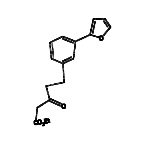 CCOC(=O)CC(=O)CCc1cccc(-c2ccco2)c1